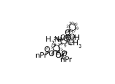 CCCC(=O)Oc1ccc(C(CC(C)OC(=O)OC2CCCCC2)[C@H](N)C(=O)O)cc1OC(=O)CCC